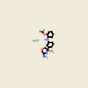 CC1(c2cccc(Nc3ccccc3OC(F)F)c2)COCC(N)=N1.Cl